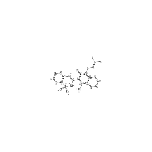 CC(C)=CCn1c(=O)c(C2=Nc3ccccc3S(=O)(=O)N2)c(O)c2ccccc21